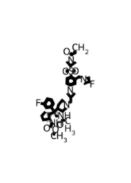 C=CC(=O)N1CC(S(=O)(=O)c2ccc(N3CC(CN4CCC([C@@](CNC(C)=O)(c5cccc(F)c5)[C@H]5CCC[C@@H]5NC(=O)OC)CC4)C3)cc2CN2CC(F)C2)C1